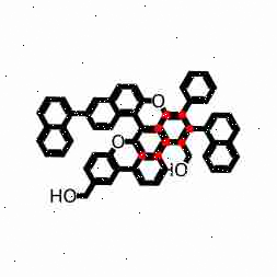 OCc1ccc(Oc2ccc3cc(-c4cccc5ccccc45)ccc3c2-c2c(Oc3ccc(CO)cc3-c3ccccc3)ccc3cc(-c4cccc5ccccc45)ccc23)c(-c2ccccc2)c1